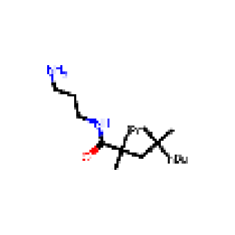 CCCCC(C)(C)CC(C)(C(=O)NCCCN)C(C)C